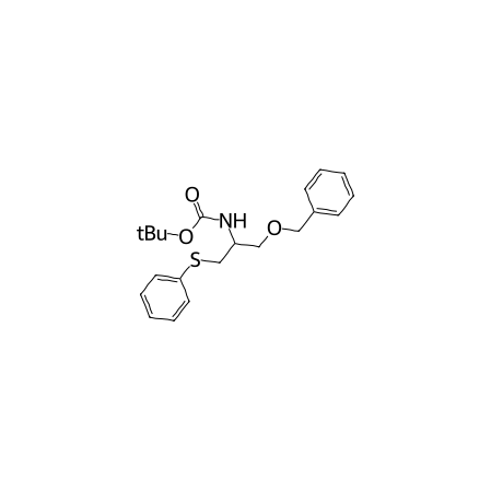 CC(C)(C)OC(=O)NC(COCc1ccccc1)CSc1ccccc1